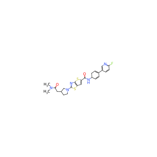 CN(C)C(=O)CC1CCN(c2nc3sc(C(=O)NC4C=CC(c5ccc(F)nc5)=CC4)cc3s2)C1